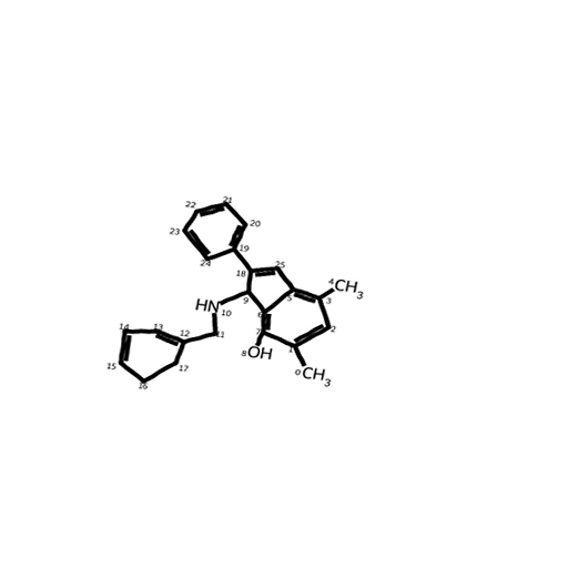 Cc1cc(C)c2c(c1O)C(NCC1=CC=CCC1)C(c1ccccc1)=C2